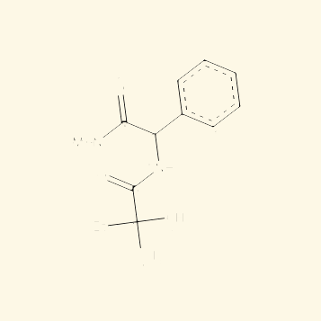 CCC(C)(C)C(=O)NC(C(=O)NC)c1ccccc1